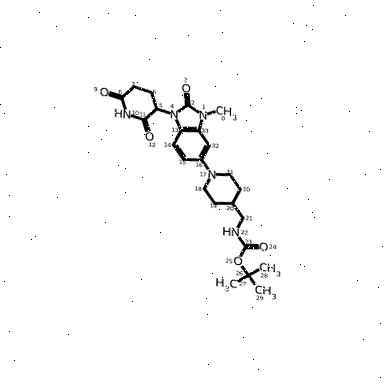 Cn1c(=O)n(C2CCC(=O)NC2=O)c2ccc(N3CCC(CNC(=O)OC(C)(C)C)CC3)cc21